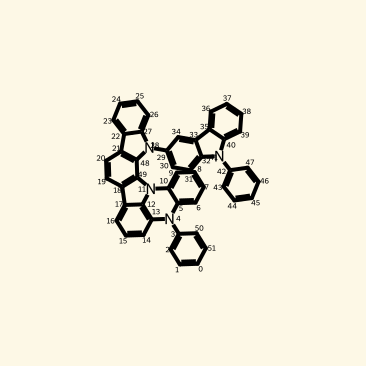 c1ccc(N2c3ccccc3-n3c4c2cccc4c2ccc4c5ccccc5n(-c5ccc6c(c5)c5ccccc5n6-c5ccccc5)c4c23)cc1